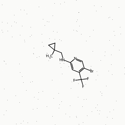 CC1(CNc2cc(C(F)(F)F)c(Br)cn2)CC1